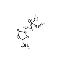 B[C@H]1C[C@@H](OCP(C)(=O)OC(C)C)CO1